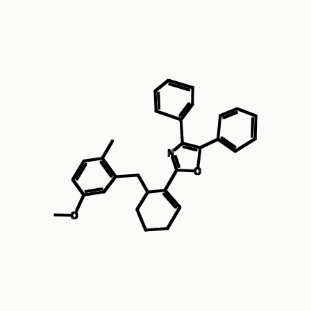 COc1ccc(C)c(CC2CCCC=C2c2nc(-c3ccccc3)c(-c3ccccc3)o2)c1